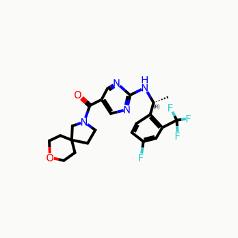 C[C@@H](Nc1ncc(C(=O)N2CCC3(CCOCC3)C2)cn1)c1ccc(F)cc1C(F)(F)F